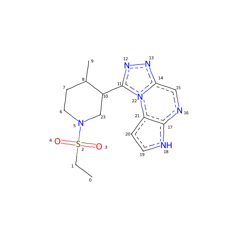 CCS(=O)(=O)N1CCC(C)C(c2nnc3cnc4[nH]ccc4n23)C1